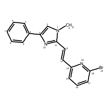 Cn1cc(-c2ccccc2)nc1/C=C/c1cccc(Br)n1